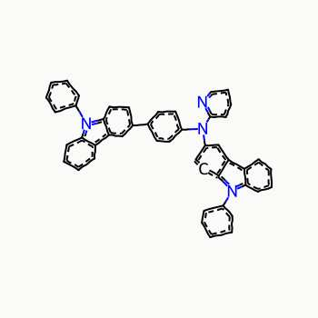 c1ccc(-n2c3ccccc3c3cc(-c4ccc(N(c5ccc6c(c5)c5ccccc5n6-c5ccccc5)c5ccccn5)cc4)ccc32)cc1